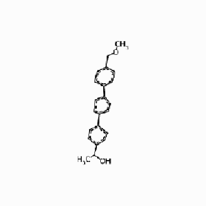 COCc1ccc(-c2ccc(-c3ccc(C(C)O)cc3)cc2)cc1